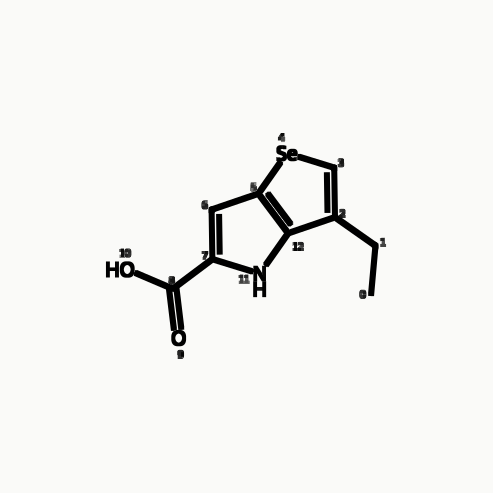 CCc1c[se]c2cc(C(=O)O)[nH]c12